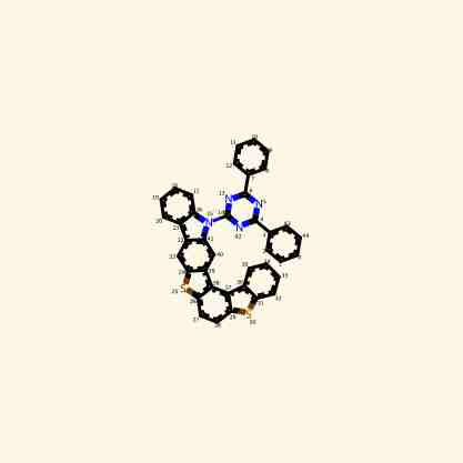 c1ccc(-c2nc(-c3ccccc3)nc(-n3c4ccccc4c4cc5sc6ccc7sc8ccccc8c7c6c5cc43)n2)cc1